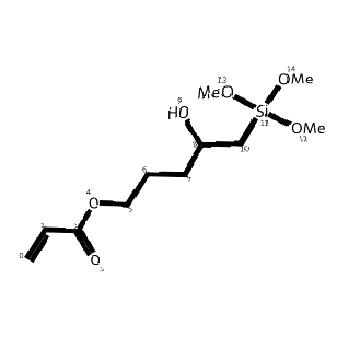 C=CC(=O)OCCCC(O)C[Si](OC)(OC)OC